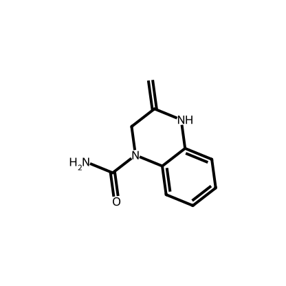 C=C1CN(C(N)=O)c2ccccc2N1